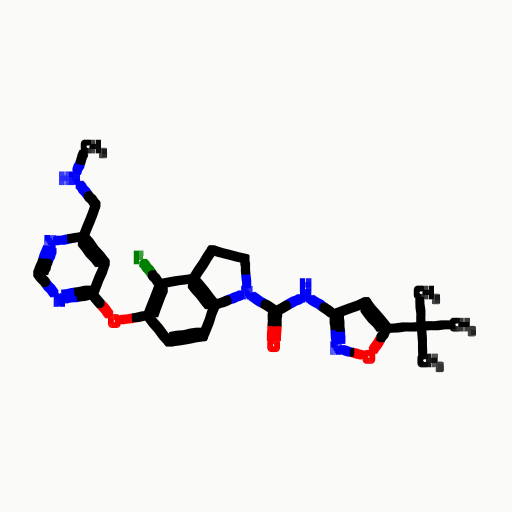 CNCc1cc(Oc2ccc3c(c2F)CCN3C(=O)Nc2cc(C(C)(C)C)on2)ncn1